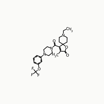 CCN1CCC2(CC1)OC(=O)C(C)=C2C(=O)N1CCN(c2cccc(OC(F)(F)F)c2)CC1